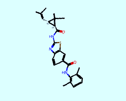 CC(C)=C[C@H]1[C@H](C(=O)Nc2nc3ccc(C(=O)Nc4c(C)cccc4C)cc3s2)C1(C)C